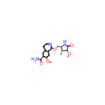 COc1cc2c(OC[C@H]3NC(=O)C(OC)[C@H]3C)nccc2cc1C(N)=O